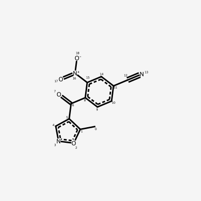 Cc1oncc1C(=O)c1ccc(C#N)cc1[N+](=O)[O-]